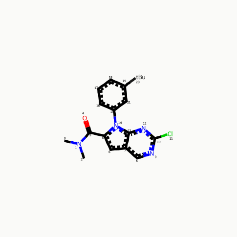 CN(C)C(=O)c1cc2cnc(Cl)nc2n1-c1cccc(C(C)(C)C)c1